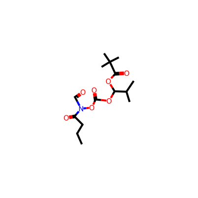 CCCC(=O)N(C=O)OC(=O)OC(OC(=O)C(C)(C)C)C(C)C